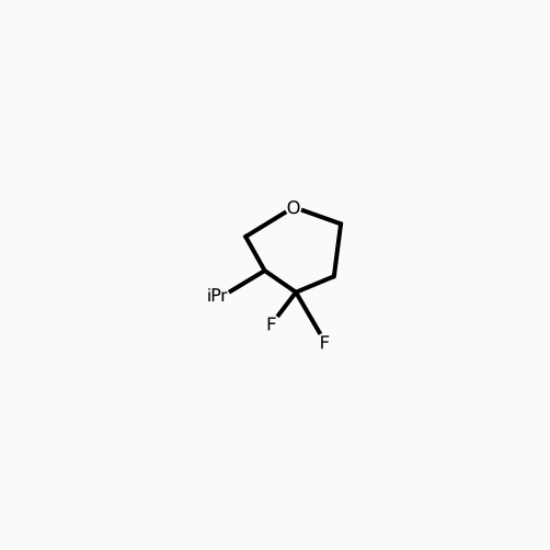 CC(C)C1COCCC1(F)F